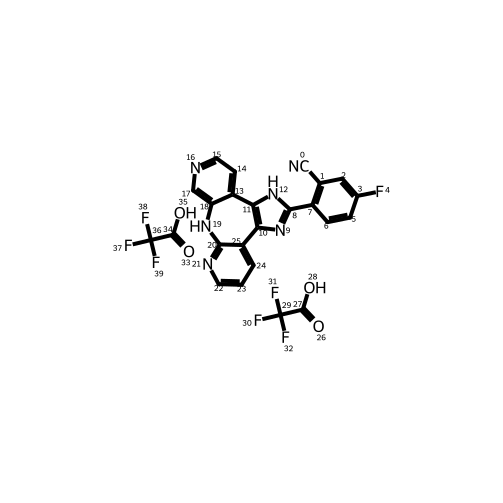 N#Cc1cc(F)ccc1-c1nc2c([nH]1)-c1ccncc1Nc1ncccc1-2.O=C(O)C(F)(F)F.O=C(O)C(F)(F)F